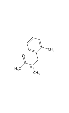 CC(=O)[C@@H](C)Cc1ccccc1C